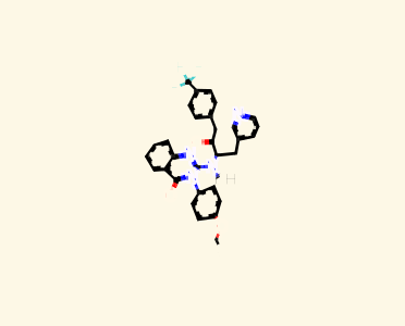 CCOc1ccc(-n2c(N(C)C(Cc3cccnc3)C(=O)Cc3ccc(C(F)(F)F)cc3)nc3ccccc3c2=O)cc1